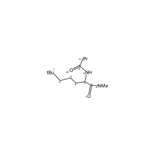 CNC(=O)C(CCCC(C)(C)C)NC(=O)C(C)C